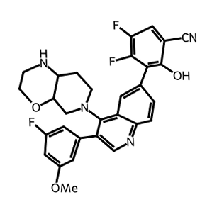 COc1cc(F)cc(-c2cnc3ccc(-c4c(O)c(C#N)cc(F)c4F)cc3c2N2CCC3NCCOC3C2)c1